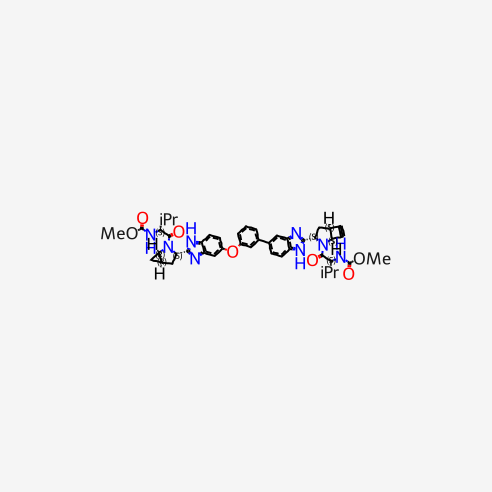 COC(=O)N[C@H](C(=O)N1[C@@H]2C#C[C@@H]2C[C@H]1c1nc2cc(-c3cccc(Oc4ccc5[nH]c([C@@H]6C[C@H]7C[C@H]7N6C(=O)[C@@H](NC(=O)OC)C(C)C)nc5c4)c3)ccc2[nH]1)C(C)C